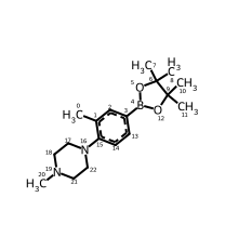 Cc1cc(B2OC(C)(C)C(C)(C)O2)ccc1N1CCN(C)CC1